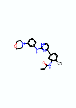 C=CC(=O)Nc1cc(-c2ccnc(Nc3cccc(N4CCOCC4)c3)n2)ccc1C#N